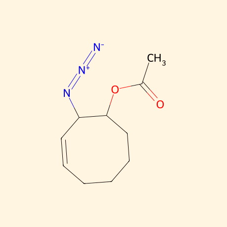 CC(=O)OC1CCCCC=CC1N=[N+]=[N-]